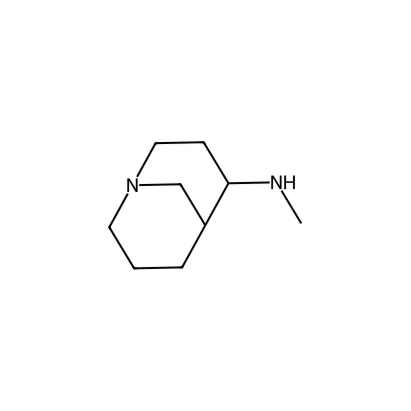 CNC1CCN2CCCC1C2